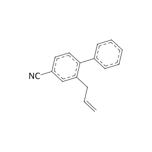 C=CCc1cc(C#N)ccc1-c1ccccc1